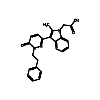 Cc1c(-c2ccc(=O)n(CCc3ccccc3)n2)c2ccccc2n1CC(=O)O